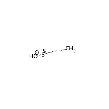 CCCCCCCCCCCCC(=S)SCCC(=O)O